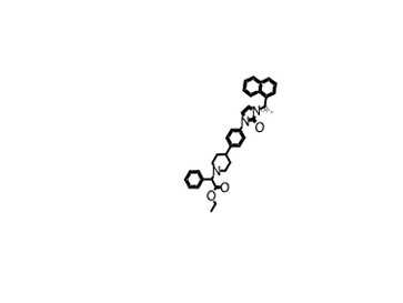 CCOC(=O)C(c1ccccc1)N1CCC(c2ccc(-n3ccn([C@@H](C)c4cccc5ccccc45)c3=O)cc2)CC1